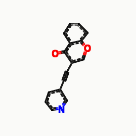 O=c1c(C#Cc2cccnc2)coc2ccccc12